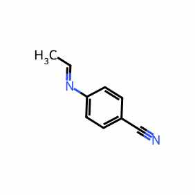 CC=Nc1ccc(C#N)cc1